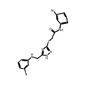 Cc1cccc(NCc2nc(SCC(=O)Nc3cccc(Br)c3)n[nH]2)c1